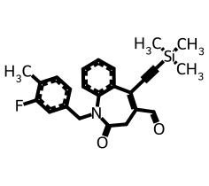 Cc1ccc(CN2C(=O)CC(C=O)=C(C#C[Si](C)(C)C)c3ccccc32)cc1F